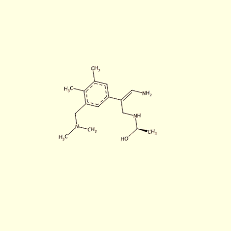 Cc1cc(/C(=C/N)CN[C@@H](C)O)cc(CN(C)C)c1C